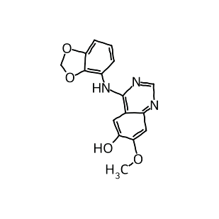 COc1cc2ncnc(Nc3cccc4c3OCO4)c2cc1O